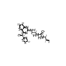 C=CCNC(=O)NCCNc1nc(C(=O)c2cccs2)c2sccc2n1